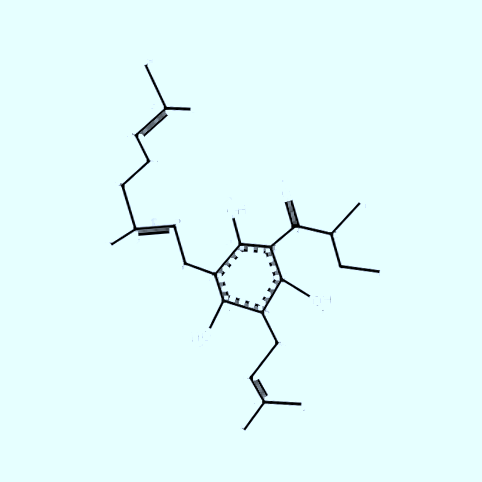 CCC(C)C(=O)c1c(O)c(CC=C(C)C)c(O)c(C/C=C(\C)CCC=C(C)C)c1O